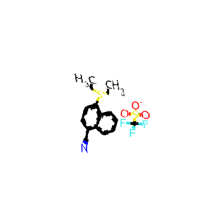 CC[S+](CC)c1ccc(C#N)c2ccccc12.O=S(=O)([O-])C(F)(F)F